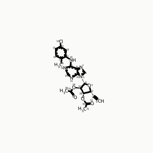 C#C[C@H]1O[C@@H](n2cnc3c(Nc4cc(Cl)ccc4C)ncnc32)[C@H](OC(C)=O)[C@H]1OC(C)=O